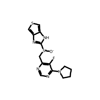 [O-][S+](Cc1ncnc(N2CCCC2)c1F)c1nc2cscc2[nH]1